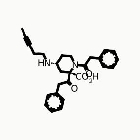 CC#CCCN[C@@H]1CCN(C(=O)Cc2ccccc2)[C@](C(=O)O)(C(=O)Cc2ccccc2)C1